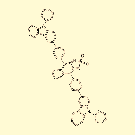 O=S1(=O)N=c2c(-c3ccc(-c4ccc5c(c4)c4ccccc4n5-c4ccccc4)cc3)c3ccccc3c(-c3ccc(-c4ccc5c(c4)c4ccccc4n5-c4ccccc4)cc3)c2=N1